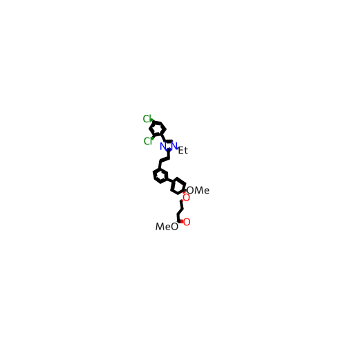 CCn1cc(-c2ccc(Cl)cc2Cl)nc1C=Cc1cccc(C2=CCC(OC)(OCCCC(=O)OC)C=C2)c1